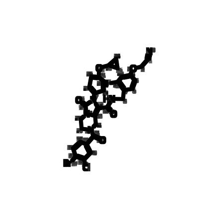 N#CCOc1ccc(CNC(=O)c2c3n(c(=O)n2-c2ccc(OC4CC4)cc2)CCN(C(=O)c2ccc(Br)c(Cl)c2)C3)c(F)c1